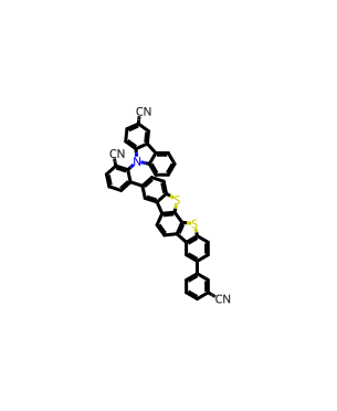 N#Cc1cccc(-c2ccc3sc4c(ccc5c6cc(-c7cccc(C#N)c7-n7c8ccccc8c8cc(C#N)ccc87)ccc6sc54)c3c2)c1